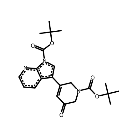 CC(C)(C)OC(=O)N1CC(=O)C=C(c2cn(C(=O)OC(C)(C)C)c3ncccc23)C1